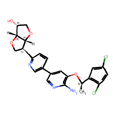 C[C@@H](Oc1cc(-c2ccc([C@H]3CO[C@H]4[C@@H]3OC[C@H]4O)nc2)cnc1N)c1cc(Cl)ccc1Cl